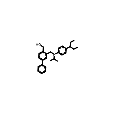 CCC(CC)c1ccc(N(Cc2cc(-c3ccccc3)ccc2CO)C(C)C)cc1